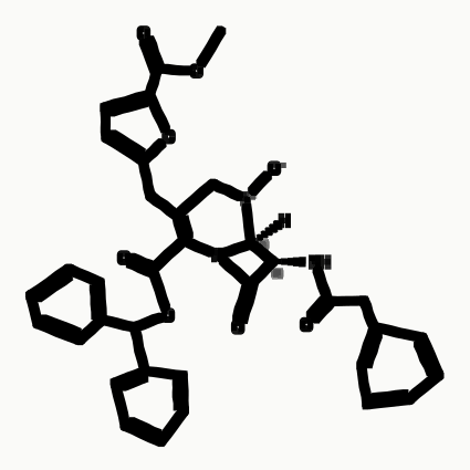 COC(=O)c1ccc(CC2=C(C(=O)OC(c3ccccc3)c3ccccc3)N3C(=O)[C@@H](NC(=O)Cc4ccccc4)[C@@H]3[S+]([O-])C2)o1